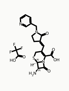 N[C@@H]1C(=O)N2C(C(=O)O)=C(C=C3CCN(Cc4cccnc4)C3=O)CS[C@H]12.O=C(O)C(F)(F)F